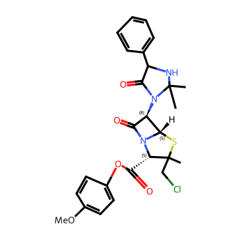 COc1ccc(OC(=O)[C@@H]2N3C(=O)[C@@H](N4C(=O)C(c5ccccc5)NC4(C)C)[C@@H]3SC2(C)CCl)cc1